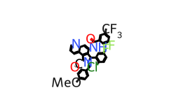 COc1ccc(CN2C(=C=O)c3c(c(NC(=O)c4cc(F)cc(C(F)(F)F)c4)cc4ncccc34)C2c2cc(F)ccc2Cl)cc1